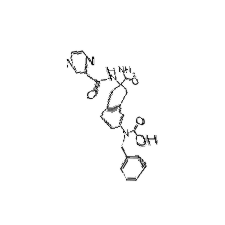 NC(=O)C1(NC(=O)c2cnccn2)Cc2ccc(N(Cc3ccccc3)C(=O)O)cc2C1